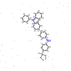 CCC(C)(CC)c1ccc(Nc2ccc(-c3ccc4c(c3)c3ccccc3n4-c3ccccc3)cc2)cc1